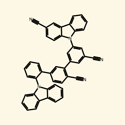 N#Cc1cc(-c2cc(-c3ccccc3-n3c4ccccc4c4ccccc43)ccc2C#N)cc(-n2c3ccccc3c3cc(C#N)ccc32)c1